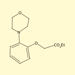 CCOC(=O)COc1ccccc1N1CCOCC1